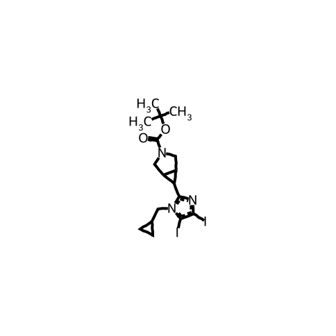 CC(C)(C)OC(=O)N1CC2C(C1)C2c1nc(I)c(I)n1CC1CC1